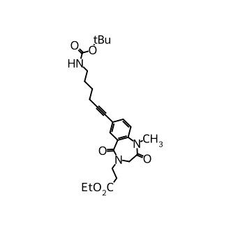 CCOC(=O)CCN1CC(=O)N(C)c2ccc(C#CCCCCNC(=O)OC(C)(C)C)cc2C1=O